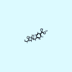 CCC(O)CNCc1ccc(C(=O)OC)cc1